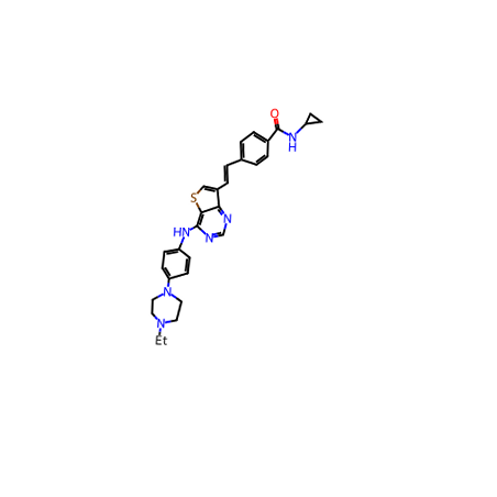 CCN1CCN(c2ccc(Nc3ncnc4c(C=Cc5ccc(C(=O)NC6CC6)cc5)csc34)cc2)CC1